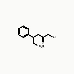 O=C(O)CC(CC(=O)CS)c1ccccc1